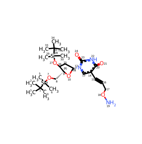 CC(C)(C)[Si](C)(C)OC[C@H]1O[C@@H](n2cc(C#CCON)c(=O)[nH]c2=O)CC1O[Si](C)(C)C(C)(C)C